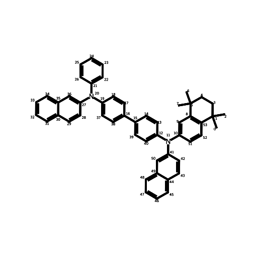 CC1(C)CCC(C)(C)c2cc(N(c3ccc(-c4ccc(N(c5ccccc5)c5ccc6ccccc6c5)cc4)cc3)c3ccc4ccccc4c3)ccc21